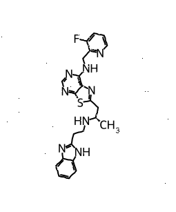 C[C@H](Cc1nc2c(NCc3ncccc3F)ncnc2s1)NCCc1nc2ccccc2[nH]1